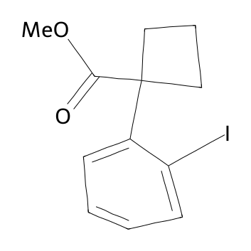 COC(=O)C1(c2ccccc2I)CCC1